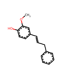 COc1cc(C=CCc2ccccc2)ccc1O